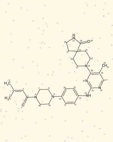 CC(C)=CC(=O)N1CCN(c2ccc(Nc3ncc(C)c(N4CCC5(CCNC5=O)CC4)n3)cc2)CC1